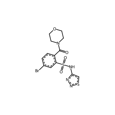 O=C(c1ccc(Br)cc1S(=O)(=O)Nc1csnn1)N1CCOCC1